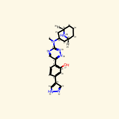 CN(c1ncc(-c2ccc(-c3cn[nH]c3)cc2O)nn1)C1C[C@H]2CCC[C@@H](C1)N2